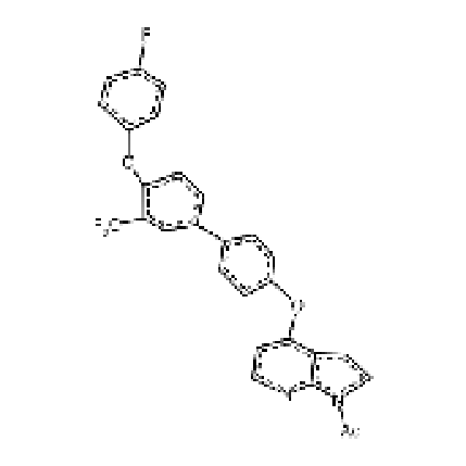 CC(=O)n1ccc2c(Oc3ccc(-c4ccc(Oc5ccc(F)cc5)c(C(F)(F)F)c4)cc3)ccnc21